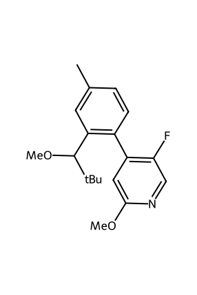 COc1cc(-c2ccc(C)cc2C(OC)C(C)(C)C)c(F)cn1